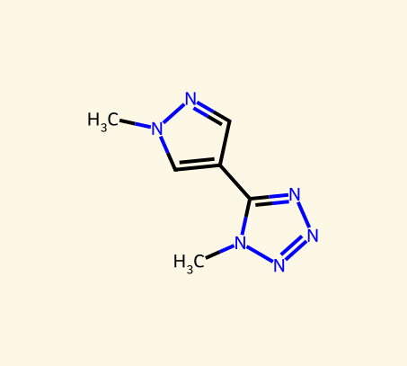 Cn1cc(-c2nnnn2C)cn1